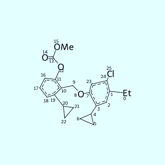 CCc1cc(C2CC2)c(OCc2c(OC(=O)OC)cccc2C2CC2)cc1Cl